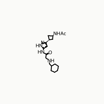 CC(=O)N[C@H]1C[C@@H](c2cc(NC(=O)CNCC3CCCCC3)[nH]n2)C1